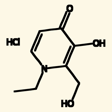 CCn1ccc(=O)c(O)c1CO.Cl